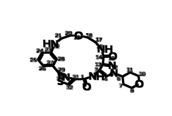 O=C1Nc2cn(C3CCOCC3)nc2C(=O)NCCOCCNc2cccc(c2)-c2nc1cs2